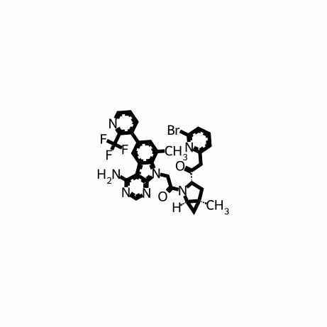 Cc1cc(-c2cccnc2C(F)(F)F)cc2c3c(N)ncnc3n(CC(=O)N3[C@H](C(=O)Cc4cccc(Br)n4)C[C@@]4(C)C[C@@H]34)c12